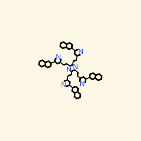 C(=Cc1nc(C=Cc2cncc(-c3ccc4ccccc4c3)c2)c(C=Cc2cncc(-c3ccc4ccccc4c3)c2)nc1C=Cc1cncc(-c2ccc3ccccc3c2)c1)c1cncc(-c2ccc3ccccc3c2)c1